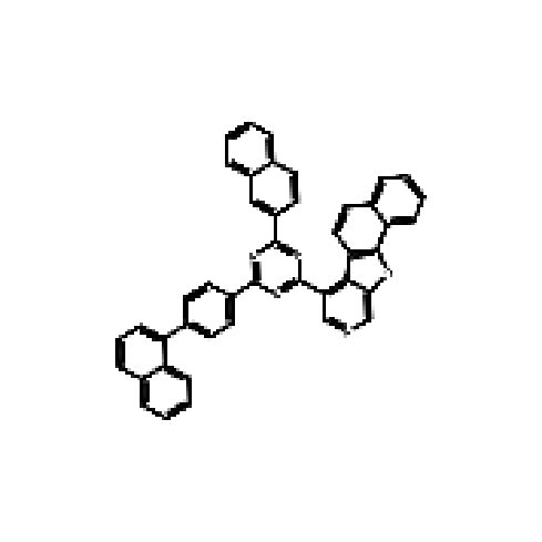 c1ccc2cc(-c3nc(-c4ccc(-c5cccc6ccccc56)cc4)nc(-c4cncc5oc6c7ccccc7ccc6c45)n3)ccc2c1